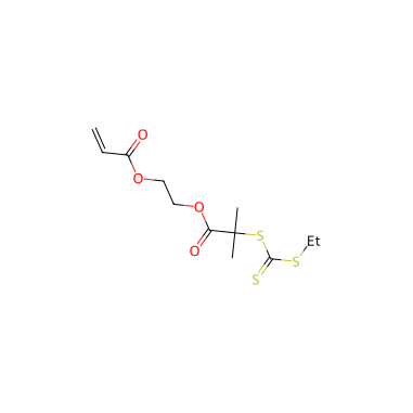 C=CC(=O)OCCOC(=O)C(C)(C)SC(=S)SCC